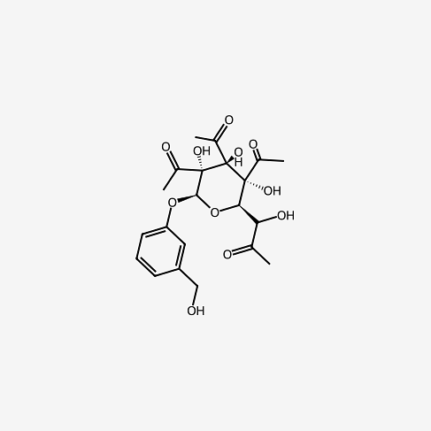 CC(=O)C(O)[C@H]1O[C@@H](Oc2cccc(CO)c2)[C@@](O)(C(C)=O)[C@](O)(C(C)=O)[C@@]1(O)C(C)=O